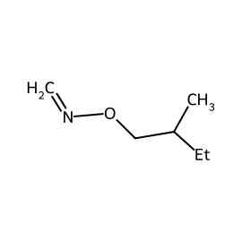 C=NOCC(C)CC